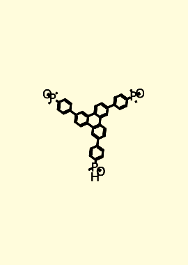 C[PH](=O)c1ccc(-c2ccc3c(c2)c2ccc(-c4ccc(P(C)(C)=O)cc4)cc2c2ccc(-c4ccc(P(C)(C)=O)cc4)cc32)cc1